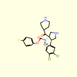 CN(C(=O)Oc1ccc(F)cc1)[C@]1(C(=O)C2CCNCC2)CNC[C@H]1c1ccc(Cl)c(Cl)c1